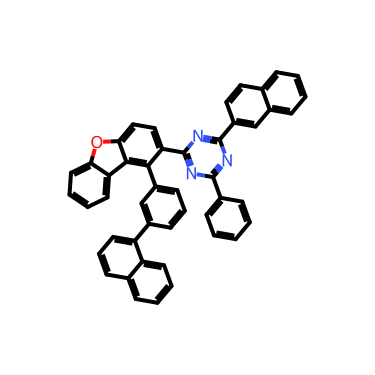 c1ccc(-c2nc(-c3ccc4ccccc4c3)nc(-c3ccc4oc5ccccc5c4c3-c3cccc(-c4cccc5ccccc45)c3)n2)cc1